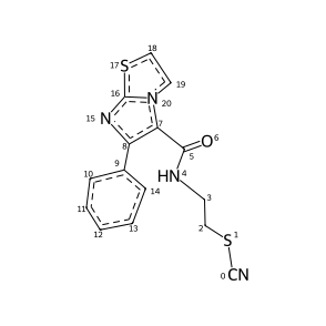 N#CSCCNC(=O)c1c(-c2ccccc2)nc2sccn12